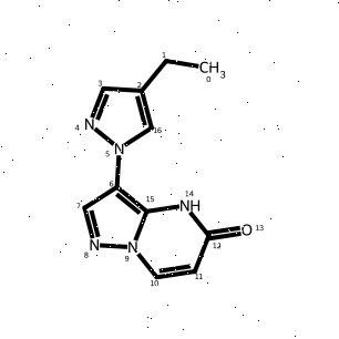 CCc1cnn(-c2cnn3ccc(=O)[nH]c23)c1